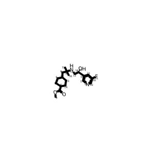 COC(=O)C1CCC(CC(C)(C)NC[C@H](O)c2cncc(F)c2)CC1